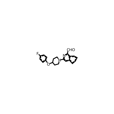 O=Cc1nc(N2CCC(Oc3ccc(F)cc3)CC2)cc2ccccc12